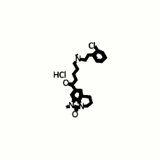 CN(CCCCC(=O)c1cc2c3c(c1)n(C)c(=O)n3CCC2)CCc1ccccc1Cl.Cl